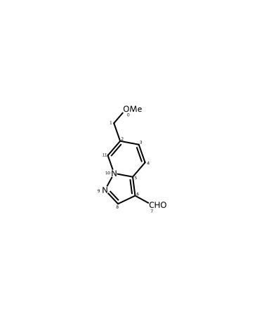 COCc1ccc2c(C=O)cnn2c1